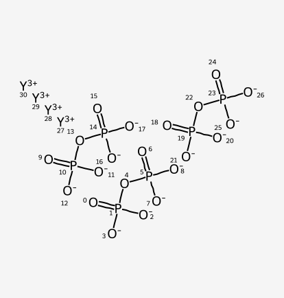 O=P([O-])([O-])OP(=O)([O-])[O-].O=P([O-])([O-])OP(=O)([O-])[O-].O=P([O-])([O-])OP(=O)([O-])[O-].[Y+3].[Y+3].[Y+3].[Y+3]